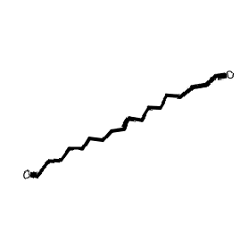 O=CCCCCCCCC=CCCCCCCCC=O